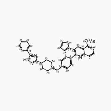 COc1nccc2nc(-c3ccc(CN4CCC(c5n[nH]c(-c6ccccn6)n5)CC4)cc3)c(-c3cccs3)cc12